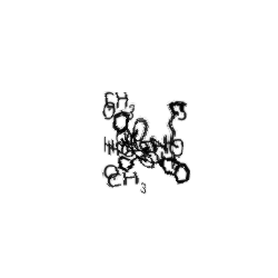 COc1ccc(C(=O)C(O)(C(=O)O)C(O)(C(=O)O)C(=O)c2ccc(OC)cc2)cc1.NC(CCc1cccs1)Oc1cccc2ccccc12